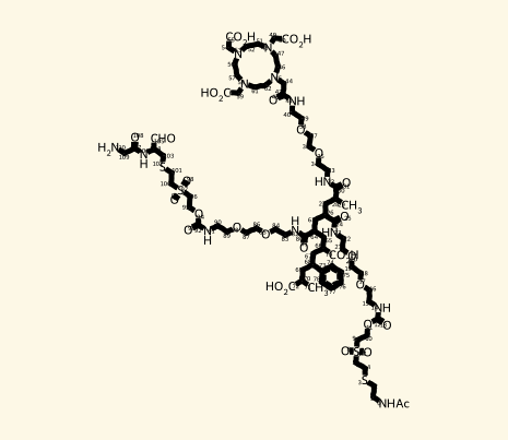 CC(=O)NCCSCCS(=O)(=O)CCOC(=O)NCCOCCOCCNC(=O)C(CC(C)C(=O)NCCOCCOCCNC(=O)CN1CCN(CC(=O)O)CCN(CC(=O)O)CCN(CC(=O)O)CC1)CC(CC(CC(CC(C)C(=O)O)c1ccccc1)C(=O)O)C(=O)NCCOCCOCCNC(=O)OCCS(=O)(=O)CCSCC(C=O)NC(=O)CN